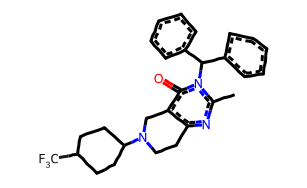 Cc1nc2c(c(=O)n1C(c1ccccc1)c1ccccc1)CN(C1CCC(C(F)(F)F)CC1)CC2